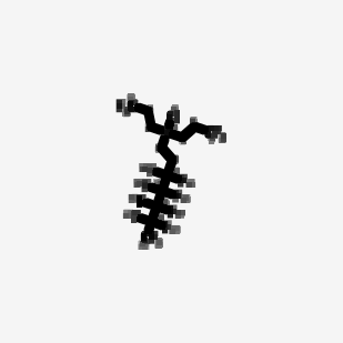 FC(F)(F)CC[Si](Cl)(CCC(F)(F)F)CCC(F)(F)C(F)(F)C(F)(F)C(F)(F)C(F)(F)F